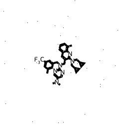 Cc1cc(CN(Cc2cc3cccc(C)c3nc2N(CC2CC2)CC2CC2)c2ncc(N(C)C)cn2)cc(C(F)(F)F)c1